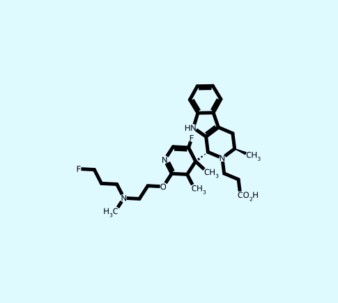 CC1C(OCCN(C)CCCF)=NC=C(F)C1(C)[C@@H]1c2[nH]c3ccccc3c2C[C@@H](C)N1CCC(=O)O